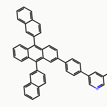 Cc1cncc(-c2ccc(-c3ccc4c(-c5ccc6ccccc6c5)c5ccccc5c(-c5ccc6ccccc6c5)c4c3)cc2)c1